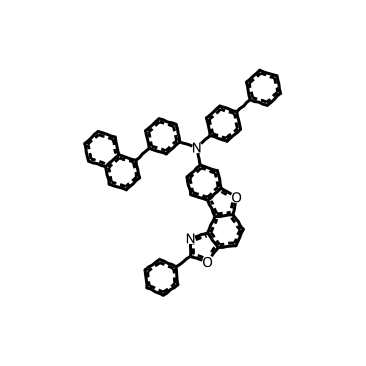 c1ccc(-c2ccc(N(c3cccc(-c4cccc5ccccc45)c3)c3ccc4c(c3)oc3ccc5oc(-c6ccccc6)nc5c34)cc2)cc1